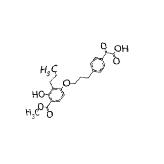 CCCc1c(OCCCc2ccc(C(=O)C(=O)O)cc2)ccc(C(=O)OC)c1O